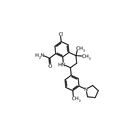 Cc1ccc(C2CC(C)(C)c3cc(Cl)cc(C(N)=O)c3N2)cc1N1CCCC1